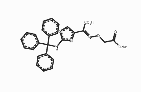 COC(=O)CON=C(C(=O)O)c1csc(NC(c2ccccc2)(c2ccccc2)c2ccccc2)n1